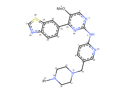 COc1cnc(Nc2ccc(CN3CCN(C(C)C)CC3)cn2)nc1-c1ccc2ncsc2c1